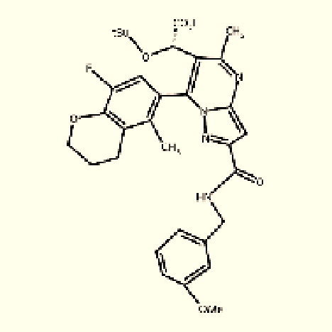 COc1cccc(CNC(=O)c2cc3nc(C)c([C@H](OC(C)(C)C)C(=O)O)c(-c4cc(F)c5c(c4C)CCCO5)n3n2)c1